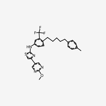 COc1ncc(-c2csc(Nc3ccc(CCCCCc4ccc(C)cc4)c(C(F)(F)F)c3)n2)cn1